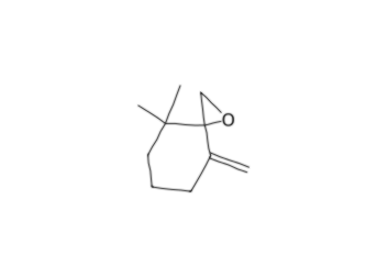 C=C1CCCC(C)(C)C12CO2